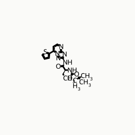 CC[C@H](NC(=O)OC(C)(C)C)C(=O)Nc1nc2nccc(-c3cccs3)n2n1